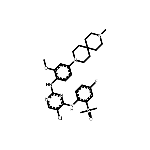 COc1cc(N2CCC3(CCN(C)CC3)CC2)ccc1Nc1ncc(Cl)c(Nc2ccc(F)cc2P(C)(C)=O)n1